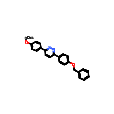 CCCCCCCCOc1ccc(-c2ccc(-c3ccc(OCc4ccccc4)cc3)nn2)cc1